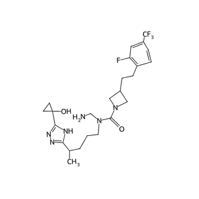 CC(CCCN(CN)C(=O)N1CC(CCc2ccc(C(F)(F)F)cc2F)C1)c1nnc(C2(O)CC2)[nH]1